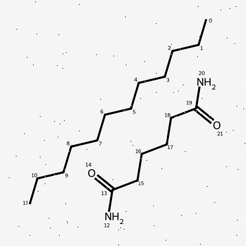 CCCCCCCCCCCC.NC(=O)CCCCC(N)=O